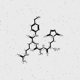 CC(C)Cc1ccc(NC(=O)[C@H](CCCNC(N)=O)NC(=O)[C@@H](NC(=O)[C@H](CCN2C(=O)C=CC2=O)S(=O)(=O)O)C(C)C)cc1